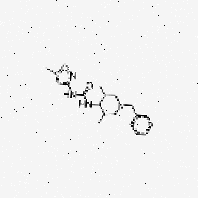 Cc1cc(NC(=O)NC2C(C)CN(Cc3ccccc3)CC2C)no1